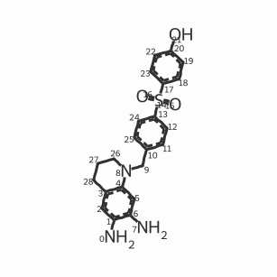 Nc1cc2c(cc1N)N(Cc1ccc(S(=O)(=O)c3ccc(O)cc3)cc1)CCC2